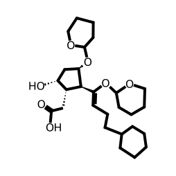 O=C(O)C[C@H]1[C@H](C(=CCCC2CCCCC2)OC2CCCCO2)[C@@H](OC2CCCCO2)C[C@H]1O